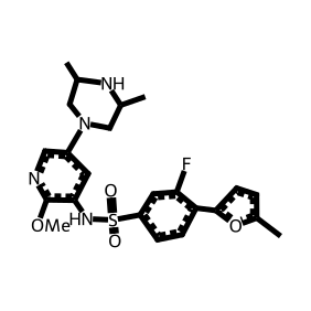 COc1ncc(N2CC(C)NC(C)C2)cc1NS(=O)(=O)c1ccc(-c2ccc(C)o2)c(F)c1